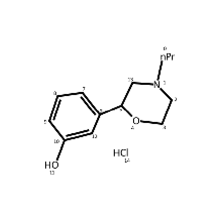 CCCN1CCOC(c2cccc(O)c2)C1.Cl